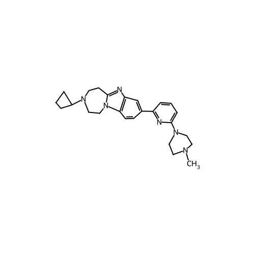 CN1CCN(c2cccc(-c3ccc4c(c3)nc3n4CCN(C4CCC4)CC3)n2)CC1